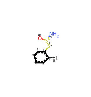 CCc1ccccc1S[S+](N)[O-]